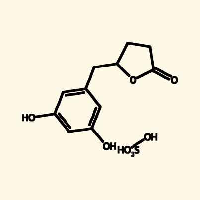 O=C1CCC(Cc2cc(O)cc(O)c2)O1.O=S(=O)(O)O